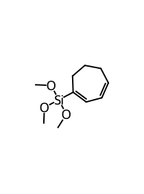 CO[Si](OC)(OC)C1=CC=CCCC1